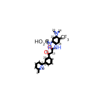 Cc1cccc(-c2cccc(C(=O)CC(=O)Nc3cc(C(F)(F)F)c(N(C)C)cc3NC(=O)O)c2)n1